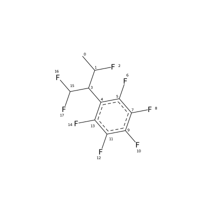 CC(F)C(c1c(F)c(F)c(F)c(F)c1F)C(F)F